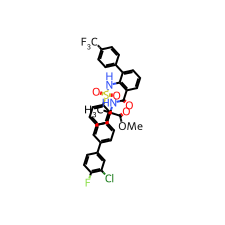 COC(=O)C(C)(NC(=O)c1cccc(-c2ccc(C(F)(F)F)cc2)c1NS(=O)(=O)c1ccccc1)c1ccc(-c2ccc(F)c(Cl)c2)cc1